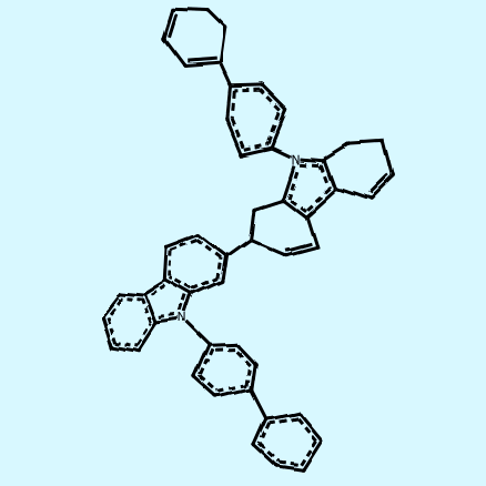 C1=CCCC(c2ccc(-n3c4c(c5c3CC(c3ccc6c7ccccc7n(-c7ccc(-c8ccccc8)cc7)c6c3)C=C5)C=CCC4)cc2)=C1